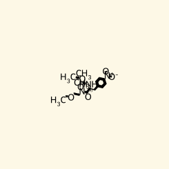 CCOCCNC(=O)[C@H](Cc1ccc([N+](=O)[O-])cc1)NC(=O)OC(C)(C)C